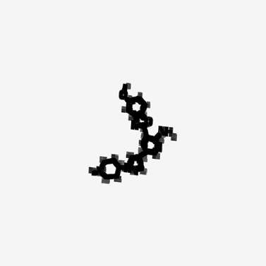 COc1ccc2oc(-c3cc(-c4cnn(C5CCN(C)CC5)c4)cnc3N)nc2c1